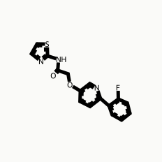 O=C(COc1ccc(-c2ccccc2F)nc1)Nc1nccs1